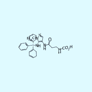 Cn1ncc(NC(=O)CCNC(=O)O)c1NC(c1ccccc1)(c1ccccc1)c1ccccc1